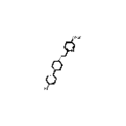 CCCCCCCCCc1cnc(CC[C@H]2CC[C@H]([C@H]3CC[C@H](CC)CC3)CC2)nc1